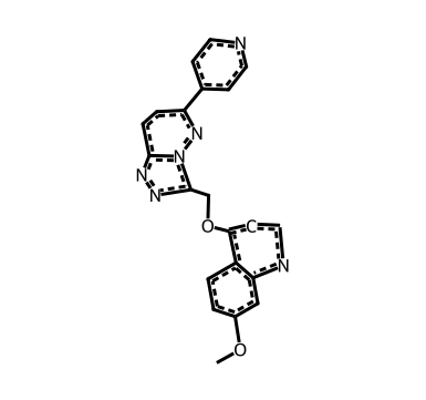 COc1ccc2c(OCc3nnc4ccc(-c5ccncc5)nn34)ccnc2c1